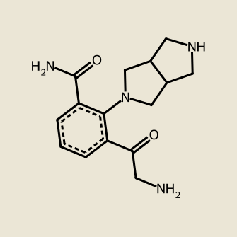 NCC(=O)c1cccc(C(N)=O)c1N1CC2CNCC2C1